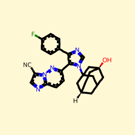 N#Cc1cnc2ccc(-c3c(-c4ccc(F)cc4)ncn3C34CC5C[C@H](C3)C[C@@](O)(C5)C4)nn12